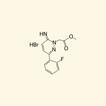 Br.COC(=O)Cn1nc(-c2ccccc2F)ccc1=N